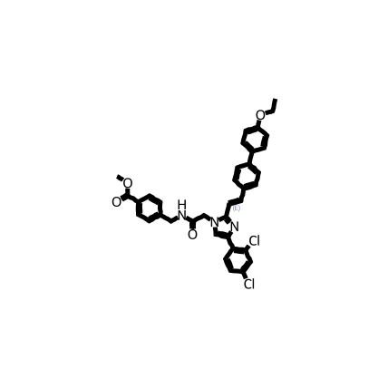 CCOc1ccc(-c2ccc(/C=C/c3nc(-c4ccc(Cl)cc4Cl)cn3CC(=O)NCc3ccc(C(=O)OC)cc3)cc2)cc1